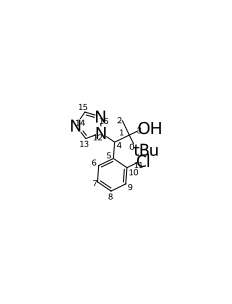 CC(C)(C)C(C)(O)C(c1ccccc1Cl)n1cncn1